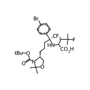 CC(C)(F)C[C@H](N[C@@](CCC[C@H]1COC(C)(C)N1C(=O)OC(C)(C)C)(c1ccc(Br)cc1)C(F)(F)F)C(=O)O